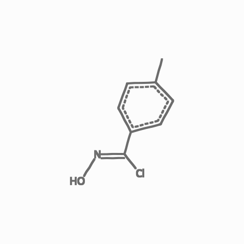 Cc1ccc(C(Cl)=NO)cc1